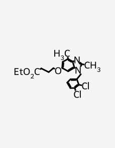 CCOC(=O)CCCOc1cc(C)c2nc(C)n(Cc3cccc(Cl)c3Cl)c2c1